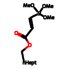 CCCCCCCCOC(=O)C=C[Si](OC)(OC)OC